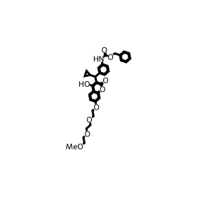 COCCOCCOCCOc1ccc2c(O)c(C(c3cccc(NC(=O)OCc4ccccc4)c3)C3CC3)c(=O)oc2c1